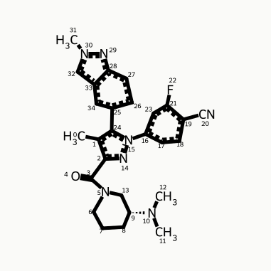 Cc1c(C(=O)N2CCC[C@@H](N(C)C)C2)nn(-c2ccc(C#N)c(F)c2)c1-c1ccc2nn(C)cc2c1